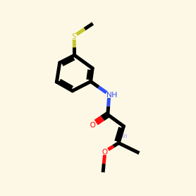 CO/C(C)=C\C(=O)Nc1cccc(SC)c1